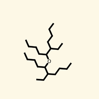 CCCCC(CC)C(CCCC)OC(CCCC)C(CC)CCCC